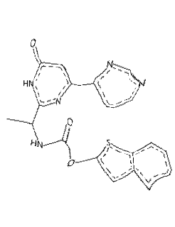 CC(NC(=O)Oc1cc2ccccc2s1)c1nc(-c2ccncn2)cc(=O)[nH]1